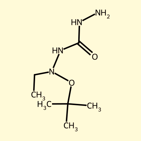 CCN(NC(=O)NN)OC(C)(C)C